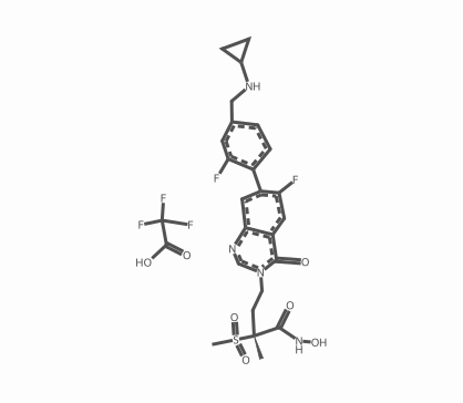 C[C@@](CCn1cnc2cc(-c3ccc(CNC4CC4)cc3F)c(F)cc2c1=O)(C(=O)NO)S(C)(=O)=O.O=C(O)C(F)(F)F